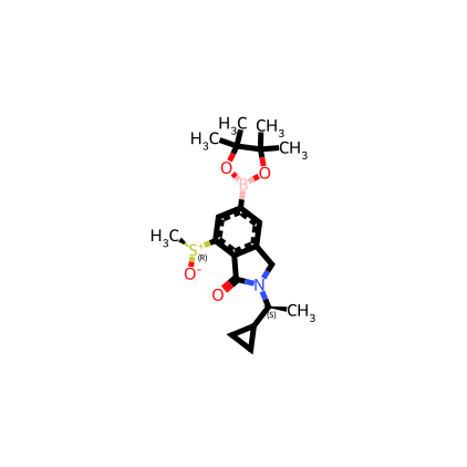 C[C@@H](C1CC1)N1Cc2cc(B3OC(C)(C)C(C)(C)O3)cc([S@+](C)[O-])c2C1=O